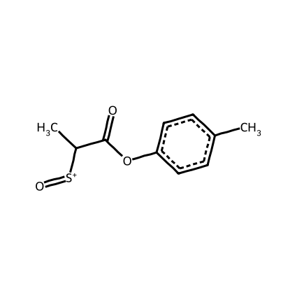 Cc1ccc(OC(=O)C(C)[S+]=O)cc1